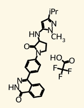 CC(C)c1cc(NC2CCN(c3ccc(-c4n[nH]c(=O)c5ccccc45)cc3)C2=O)n(C)n1.O=C(O)C(F)(F)F